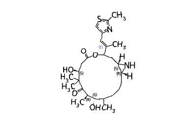 C/C(=C\c1csc(C)n1)C1C[C@@H]2N[C@@H]2CCCC(C)[C@H](O)[C@@H](C)C(=O)C(C)(C)[C@@H](O)CC(=O)O1